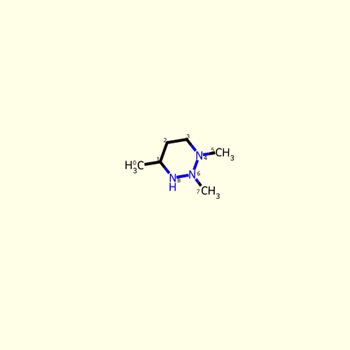 CC1CCN(C)N(C)N1